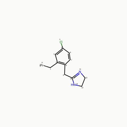 CC(C)Cc1cc(Cl)ccc1CC1=NCCN1